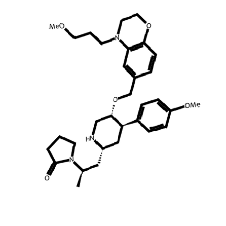 COCCCN1CCOc2ccc(CO[C@H]3CN[C@@H](C[C@@H](C)N4CCCC4=O)C[C@@H]3c3ccc(OC)cc3)cc21